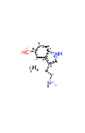 C.NCCc1c[nH]c2ccc(O)cc12